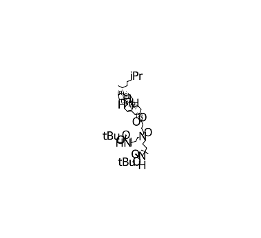 CC(C)CCCC(C)[C@H]1CC[C@H]2[C@@H]3CC=C4C[C@@H](OC(=O)CCC(=O)N(CCCC(C)(C)NC(=O)OC(C)(C)C)CCC(C)(C)NC(=O)OC(C)(C)C)CC[C@]4(C)[C@H]3CC[C@]12C